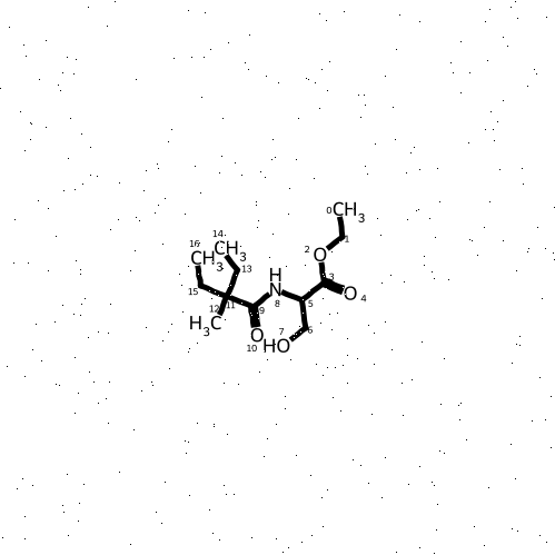 CCOC(=O)C(CO)NC(=O)C(C)(CC)CC